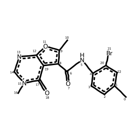 Cc1ccc(NC(=O)c2c(C)oc3ncn(C)c(=O)c23)c(Br)c1